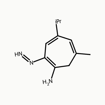 CC1=CC(C(C)C)=CC(N=N)=C(N)C1